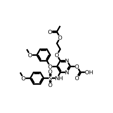 COc1ccc(S(=O)(=O)Nc2nc(OC(=O)O)nc(OCCOC(C)=O)c2Oc2cccc(OC)c2)cc1